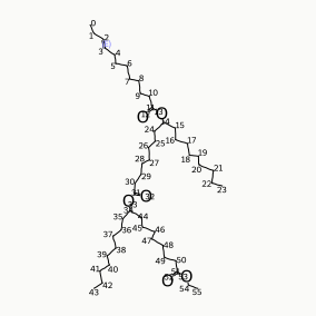 CC/C=C/CCCCCCCC(=O)OC(CCCCCCCCC)CCCCCCCC(=O)OC(CCCCCCCCC)CCCCCCCC(=O)OCC